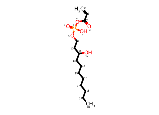 C=CC(=O)OP(=O)(O)OCCC(O)CCCCCCCC